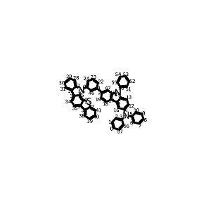 c1ccc(N(c2ccccc2)c2ccc3c(c2)c2ccc(-c4cccc(-n5c6ccccc6c6ccc7c8ccccc8sc7c65)c4)cc2n3-c2ccccc2)cc1